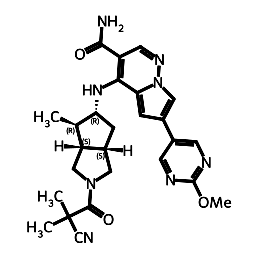 COc1ncc(-c2cc3c(N[C@@H]4C[C@@H]5CN(C(=O)C(C)(C)C#N)C[C@@H]5[C@H]4C)c(C(N)=O)cnn3c2)cn1